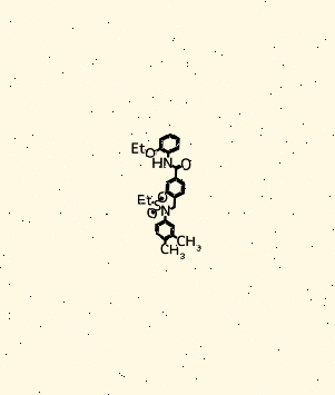 CCOc1ccccc1NC(=O)c1ccc(CN(c2ccc(C)c(C)c2)S(=O)(=O)CC)cc1